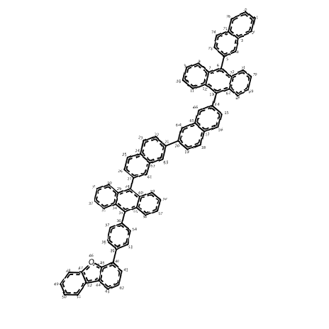 c1ccc2cc(-c3c4ccccc4c(-c4ccc5ccc(-c6ccc7ccc(-c8c9ccccc9c(-c9ccc(-c%10cccc%11c%10oc%10ccccc%10%11)cc9)c9ccccc89)cc7c6)cc5c4)c4ccccc34)ccc2c1